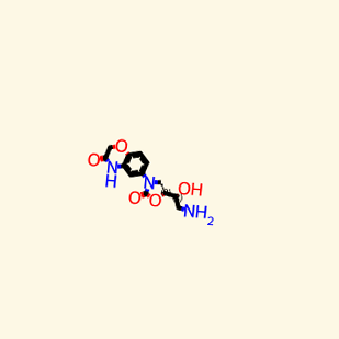 NC[C@@H](O)[C@H]1CN(c2ccc3c(c2)NC(=O)CO3)C(=O)O1